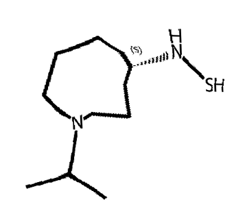 CC(C)N1CCC[C@H](NS)C1